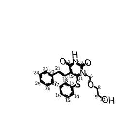 O=c1[nH]c(=O)n(COCCO)c(Sc2ccccc2)c1C=Cc1ccccc1